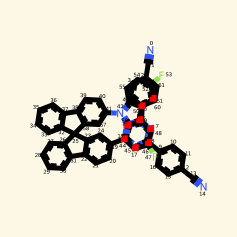 N#Cc1ccc(-c2nc(-c3ccc(C#N)cc3)nc(-c3ccc4c(c3)C3(c5ccccc5-4)c4ccccc4-c4ccc(-n5c6ccc(F)cc6c6cc(F)ccc65)cc43)n2)cc1